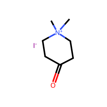 C[N+]1(C)CCC(=O)CC1.[I-]